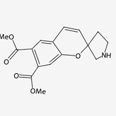 COC(=O)c1cc2c(cc1C(=O)OC)OC1(C=C2)CCNC1